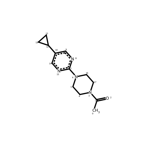 CC(=O)N1CCN(c2ncc(C3CC3)cn2)CC1